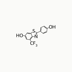 Oc1ccc(-c2nc3c(C(F)(F)F)cc(O)cc3s2)cc1